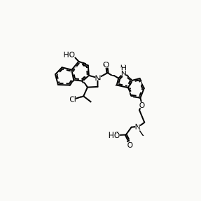 CC(Cl)C1CN(C(=O)c2cc3cc(OCCN(C)CC(=O)O)ccc3[nH]2)c2cc(O)c3ccccc3c21